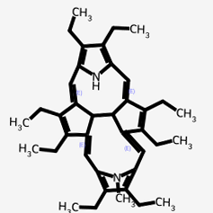 CCC1=C(CC)C2=C/c3c(CC)c(CC)c(n3C)/C=C3C(CC)=C(CC)/C4=C/c5[nH]c(c(CC)c5CC)/C=C/1C\2C4/3